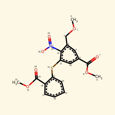 COCc1cc(C(=O)OC)cc(Sc2ccccc2C(=O)OC)c1[N+](=O)[O-]